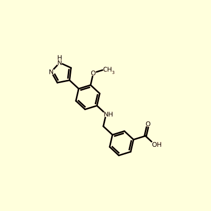 COc1cc(NCc2cccc(C(=O)O)c2)ccc1-c1cn[nH]c1